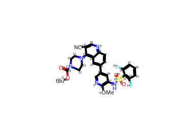 COc1ncc(-c2ccc3ncc(C#N)c(N4CCN(C(=O)OC(C)(C)C)CC4)c3c2)cc1NS(=O)(=O)c1c(F)cccc1F